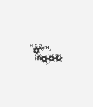 COC(=O)c1cc(Oc2nc3cc(-c4ccc(-c5cccnc5)cc4)c(I)cc3[nH]2)ccc1C